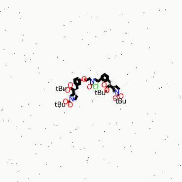 CC(C)(C)OC(=O)[C@@H](Cc1cccc(CCN(CCOc2cccc(C[C@H](C(=O)OC(C)(C)C)[C@H]3CCN(C(=O)OC(C)(C)C)C3)c2)C(=O)Cl)c1)[C@H]1CCN(C(=O)OC(C)(C)C)C1